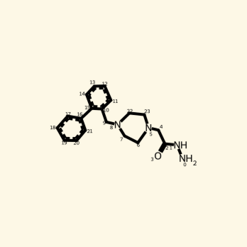 NNC(=O)CN1CCN(Cc2ccccc2-c2ccccc2)CC1